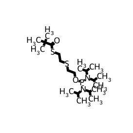 CC(C)N(C(C)C)P(OCCSCCSC(=O)C(C)(C)C)N(C(C)C)C(C)C